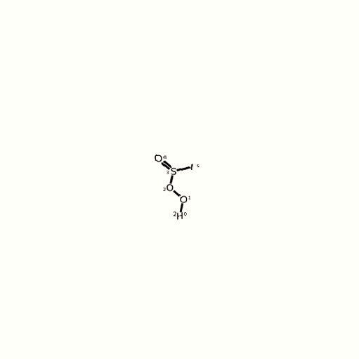 [2H]OOS(=O)I